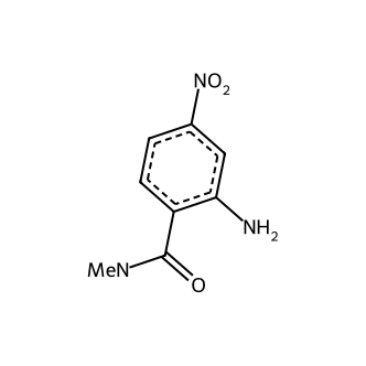 CNC(=O)c1ccc([N+](=O)[O-])cc1N